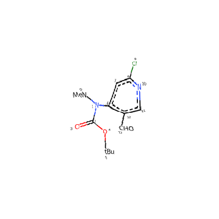 CNN(C(=O)OC(C)(C)C)c1cc(Cl)ncc1C=O